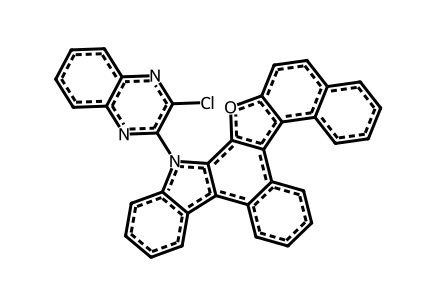 Clc1nc2ccccc2nc1-n1c2ccccc2c2c3ccccc3c3c(oc4ccc5ccccc5c43)c21